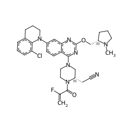 C=C(F)C(=O)N1CCN(c2nc(OC[C@@H]3CCCN3C)nc3cc(N4CCCc5cccc(Cl)c54)ccc23)C[C@@H]1CC#N